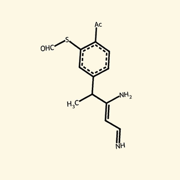 CC(=O)c1ccc(C(C)/C(N)=C/C=N)cc1SC=O